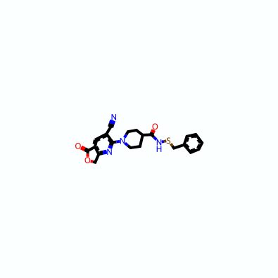 N#Cc1cc2c(nc1N1CCC(C(=O)NSCc3ccccc3)CC1)COC2=O